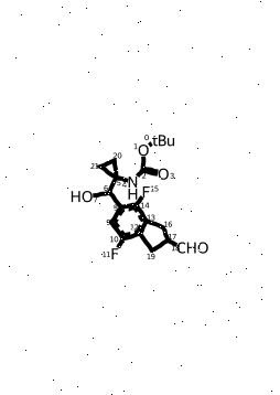 CC(C)(C)OC(=O)NC1(C(O)c2cc(F)c3c(c2F)CC(C=O)C3)CC1